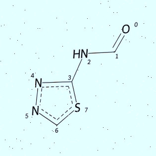 O=CNc1nncs1